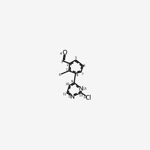 Cc1c(C=O)cccc1-c1ccnc(Cl)n1